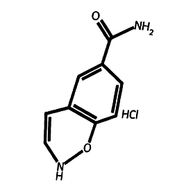 Cl.NC(=O)c1ccc2c(c1)C=CNO2